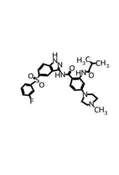 CC(C)C(=O)Nc1cc(N2CCN(C)CC2)ccc1C(=O)Nc1n[nH]c2ccc(S(=O)(=O)c3cccc(F)c3)cc12